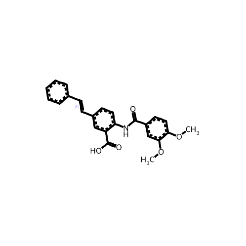 COc1ccc(C(=O)Nc2ccc(/C=C/c3ccccc3)cc2C(=O)O)cc1OC